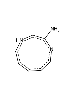 Nc1c[nH]cccccn1